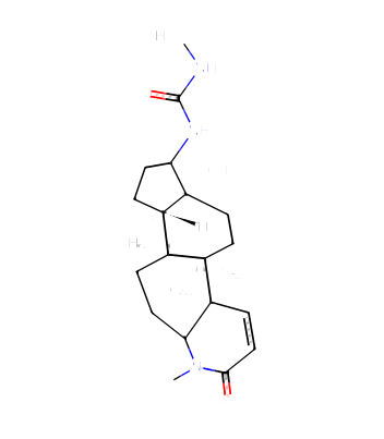 CNC(=O)NC1CC[C@H]2[C@@H]3CCC4N(C)C(=O)C=C[C@]4(C)[C@@H]3CC[C@]12C